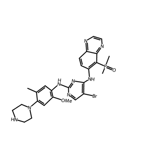 COc1cc(N2CCNCC2)c(C)cc1Nc1ncc(Br)c(Nc2ccc3nccnc3c2P(C)(C)=O)n1